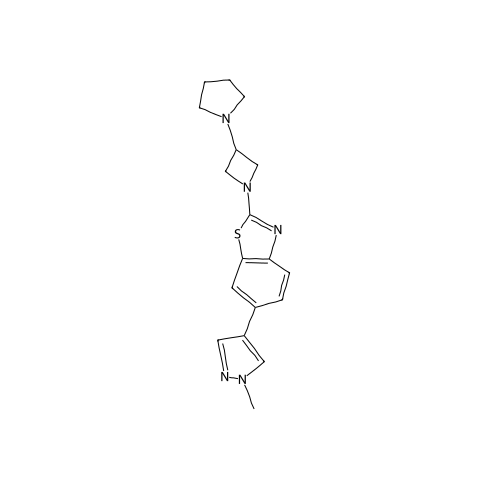 Cn1cc(-c2ccc3nc(N4CC(N5CCCC5)C4)sc3c2)cn1